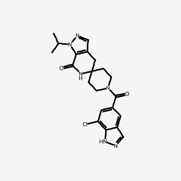 CC(C)n1ncc2c1C(=O)NC1(CCN(C(=O)c3cc(Cl)c4[nH]ncc4c3)CC1)C2